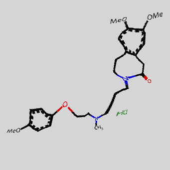 COc1ccc(OCCN(C)CCCN2CCc3cc(OC)c(OC)cc3CC2=O)cc1.Cl